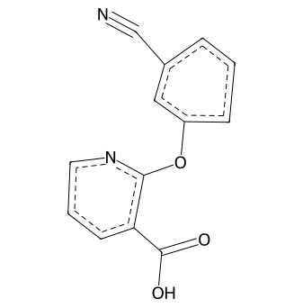 N#Cc1cccc(Oc2ncccc2C(=O)O)c1